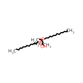 CCCCCCCCCCCCCCOC([CH]C(C)(C)O)(CC)OCCCCCCCCCCCCCC